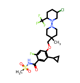 CC1(COc2cc(F)c(C(=O)NS(C)(=O)=O)cc2C2CC2)CCN(N2CC(Cl)CCC2C(F)(F)F)CC1